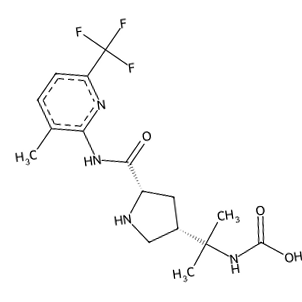 Cc1ccc(C(F)(F)F)nc1NC(=O)[C@@H]1C[C@H](C(C)(C)NC(=O)O)CN1